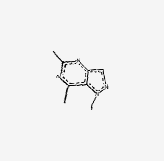 Cc1nc(C)c2c(cnn2C)n1